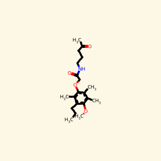 CCCc1c(C)c(OCC(=O)NCCCC(C)=O)c(C)c(C)c1OC